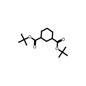 CC(C)(C)OC(=O)C1CCCC(C(=O)OC(C)(C)C)C1